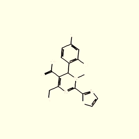 CN1C(c2nccs2)=NC(CBr)=C(C(=O)O)C1c1ccc(Cl)cc1Cl